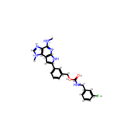 CNc1nc2[nH]c(-c3cccc(COC(=O)NCc4cccc(F)c4)c3)cc2c2c1ncn2C